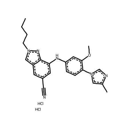 CCCCn1cc2cc(C#N)cc(Nc3ccc(-n4cnc(C)c4)c(OC)c3)c2n1.Cl.Cl